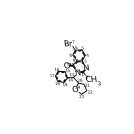 Cc1nc2ccc(Br)cc2c(=O)n1C(c1ccccc1)C1CCCO1